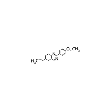 CCCC1CCc2nc(-c3ccc(OCC)cc3)ncc2C1